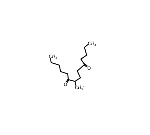 [CH2]C(CCC(=O)CCCC)C(=O)CCCCC